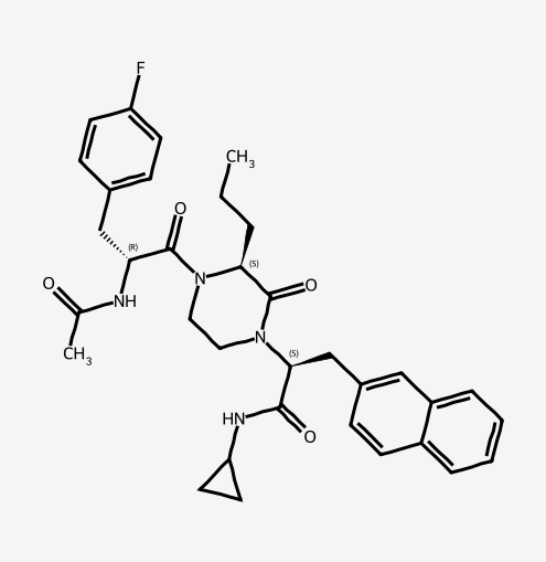 CCC[C@H]1C(=O)N([C@@H](Cc2ccc3ccccc3c2)C(=O)NC2CC2)CCN1C(=O)[C@@H](Cc1ccc(F)cc1)NC(C)=O